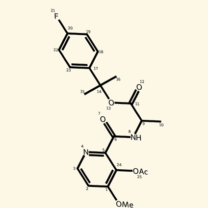 COc1ccnc(C(=O)NC(C)C(=O)OC(C)(C)c2ccc(F)cc2)c1OC(C)=O